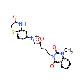 Cn1c(=O)n(CCCC23CN(c4ccc5c(c4)NC(=O)CS5)C(O2)O3)c(=O)c2ccccc21